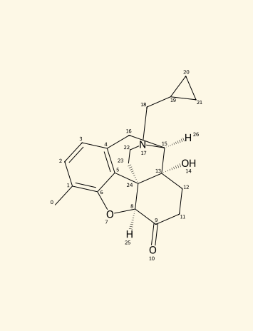 Cc1ccc2c3c1O[C@@H]1C(=O)CC[C@]4(O)[C@H](C2)N(CC2CC2)CC[C@@]314